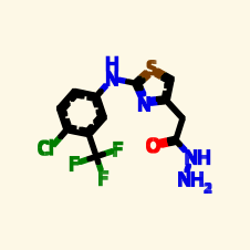 NNC(=O)Cc1csc(Nc2ccc(Cl)c(C(F)(F)F)c2)n1